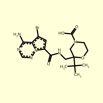 CC(C)(C)C1(CNC(=O)c2cc(Br)c3c(N)ncnn23)CN(C(=O)O)CCO1